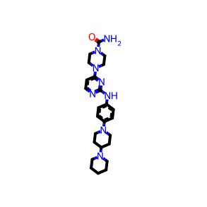 NC(=O)N1CCN(c2ccnc(Nc3ccc(N4CCC(N5CCCCC5)CC4)cc3)n2)CC1